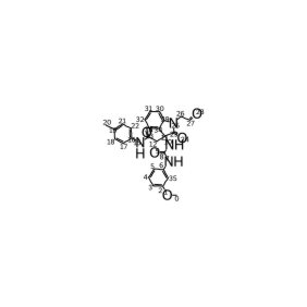 COc1cccc(NC(=O)NC2(CC(=O)Nc3ccc(C)cc3)C(=O)N(CC=O)c3ccccc32)c1